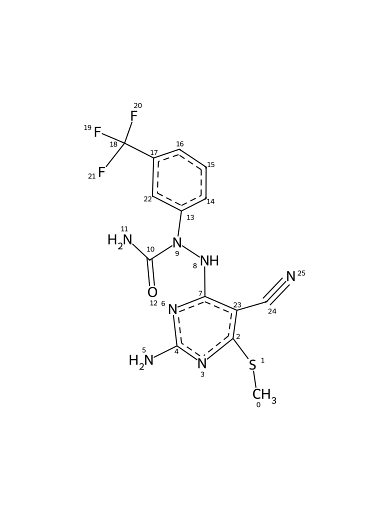 CSc1nc(N)nc(NN(C(N)=O)c2cccc(C(F)(F)F)c2)c1C#N